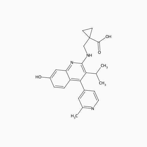 Cc1cc(-c2c(C(C)C)c(NCC3(C(=O)O)CC3)nc3cc(O)ccc23)ccn1